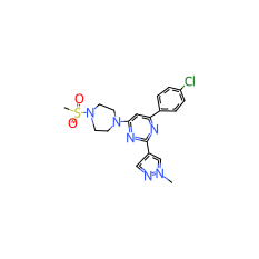 Cn1cc(-c2nc(-c3ccc(Cl)cc3)cc(N3CCN(S(C)(=O)=O)CC3)n2)cn1